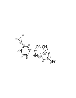 CC(C)N1C[C@@H](C)[C@@H](NC(=O)c2cc(C3CC3)ncn2)C1